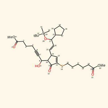 COC(=O)CCCC#CC(O)C1C(=O)C(SCCCCCC(=O)OC)=CC1C=CC(O[Si](C)(C)C(C)(C)C)C1CCCC1